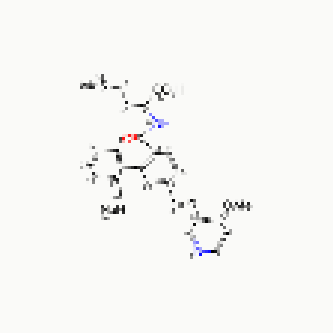 COc1ccncc1/C=C/c1ccc(C(=O)NC(CCSC)C(=O)O)c(-c2ccccc2C)c1.[NaH]